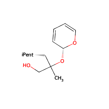 CCC[C@@H](C)CC(C)(CO)O[C@@H]1C=CC=CO1